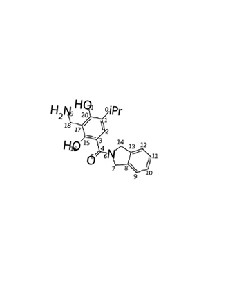 CC(C)c1cc(C(=O)N2Cc3ccccc3C2)c(O)c(CN)c1O